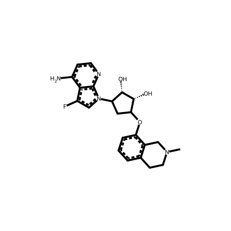 CN1CCc2cccc(OC3CC(n4cc(F)c5c(N)ccnc54)[C@H](O)[C@@H]3O)c2C1